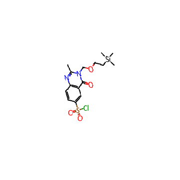 Cc1nc2ccc(S(=O)(=O)Cl)cc2c(=O)n1COCC[Si](C)(C)C